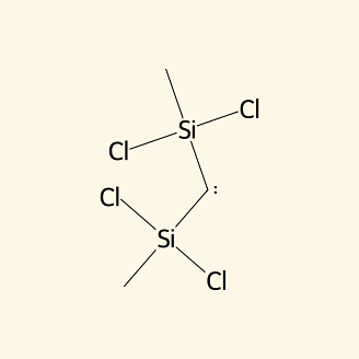 C[Si](Cl)(Cl)[C][Si](C)(Cl)Cl